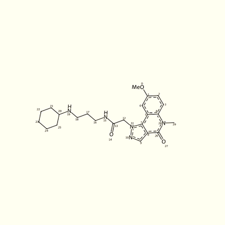 COc1ccc2c(c1)c1c(cnn1CC(=O)NCCCNC1CCCCC1)c(=O)n2C